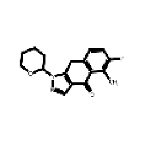 Cc1c(F)ccc2c1C(=O)c1cnn(C3CCCCO3)c1C2